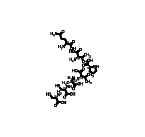 CC(C)[C@H](N)C(=O)O.CC(C)[C@H](N)C(=O)O.C[C@H](N)C(=O)O.NC(=O)CC[C@H](N)C(=O)O.N[C@@H](CS)C(=O)O.N[C@@H](CS)C(=O)O.O=C(O)[C@@H]1CCCN1